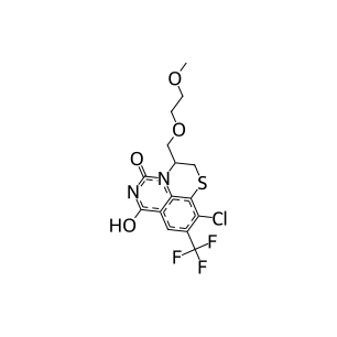 COCCOCC1CSc2c(Cl)c(C(F)(F)F)cc3c(O)nc(=O)n1c23